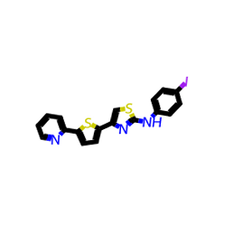 Ic1ccc(Nc2nc(-c3ccc(-c4ccccn4)s3)cs2)cc1